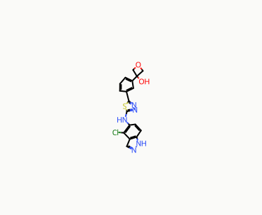 OC1(c2cccc(-c3nnc(Nc4ccc5[nH]ncc5c4Cl)s3)c2)COC1